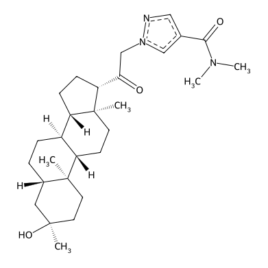 CN(C)C(=O)c1cnn(CC(=O)[C@H]2CC[C@H]3[C@@H]4CC[C@H]5C[C@](C)(O)CC[C@]5(C)[C@H]4CC[C@]23C)c1